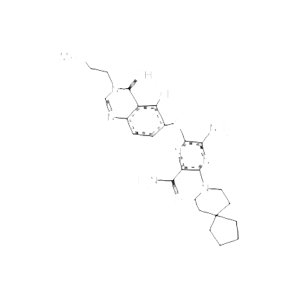 C=C1c2c(ccc(Sc3nc(C(N)=O)c(N4CCC5(CCCC5)CC4)nc3N)c2Cl)N=CN1CCOC